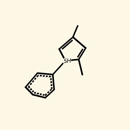 CC1=C[SH](c2ccccc2)C(C)=C1